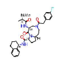 CN[C@@H](C)C(=O)N[C@H]1CN(C(=O)Cc2ccc(F)cc2)CC[C@H]2CC[C@@H](C(=O)N[C@@H]3CCCc4ccccc43)N2C1=O